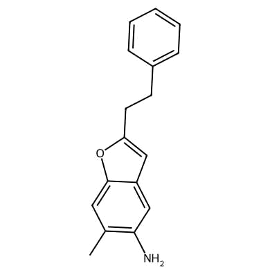 Cc1cc2oc(CCc3ccccc3)cc2cc1N